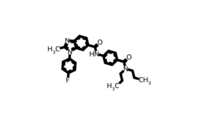 CCCN(CCC)C(=O)c1ccc(NC(=O)c2ccc3nc(C)n(-c4ccc(F)cc4)c3c2)cc1